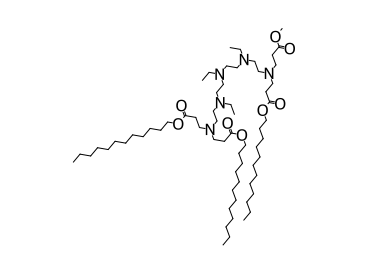 CCCCCCCCCCCCOC(=O)CCN(CCC(=O)OC)CCN(CC)CCN(CC)CCN(CC)CCN(CCC(=O)OCCCCCCCCCCCC)CCC(=O)OCCCCCCCCCCCC